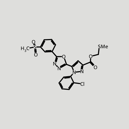 CSCOC(=O)c1cc(-c2nnc(-c3cccc(S(C)(=O)=O)c3)o2)n(-c2ccccc2Cl)n1